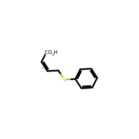 O=C(O)/C=C\CSc1ccccc1